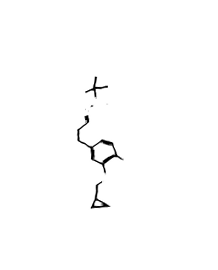 C[C@H](/C=N/[S@@+]([O-])C(C)(C)C)Cc1ccc(F)c(OCC2CC2)c1